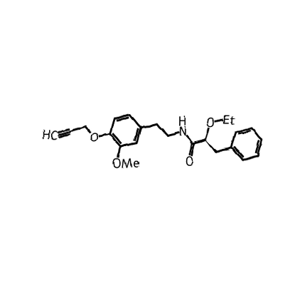 C#CCOc1ccc(CCNC(=O)[C@H](Cc2ccccc2)OCC)cc1OC